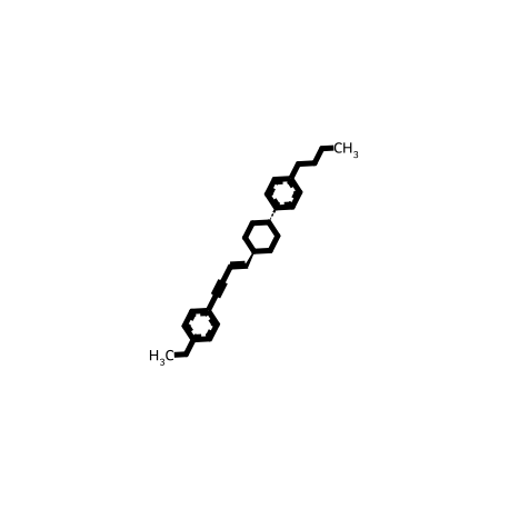 CCCCc1ccc([C@H]2CC[C@H](/C=C/C#Cc3ccc(CC)cc3)CC2)cc1